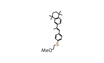 COCCSc1ccc(C=C(C)c2ccc3c(c2)C(C)(C)CCC3(C)C)cc1